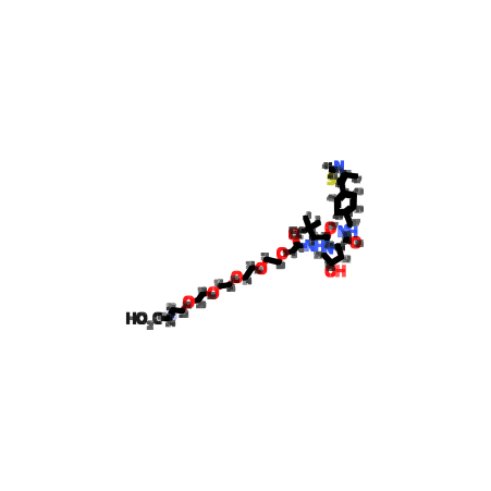 CCC(C)(C)[C@H](NC(=O)COCCOCCOCCOCCOC/C=C/C(=O)O)C(=O)N1C[C@H](O)C[C@H]1C(=O)NCc1ccc(-c2scnc2C)cc1